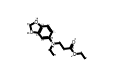 CCOC(=O)CCN(CC)c1ccc2c(c1)OCO2